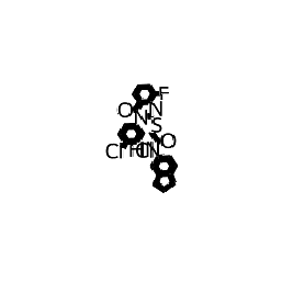 O=C(CSc1nc2c(F)cccc2c(=O)n1-c1ccc(Cl)c(Cl)c1)Nc1ccc2c(c1)CCC2